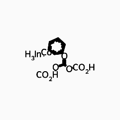 O=C(O)OC(=O)OC(=O)O.[Co].[InH3].c1ccccc1